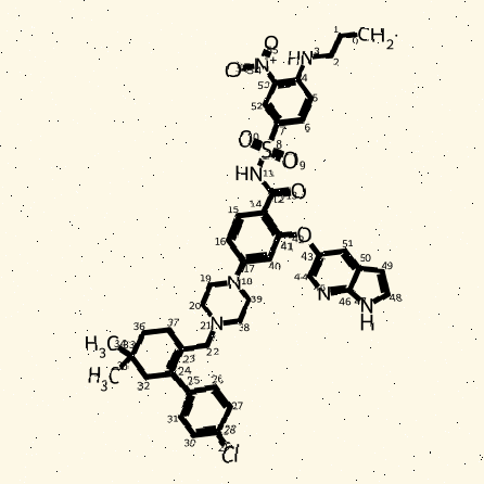 [CH2]CCNc1ccc(S(=O)(=O)NC(=O)c2ccc(N3CCN(CC4=C(c5ccc(Cl)cc5)CC(C)(C)CC4)CC3)cc2Oc2cnc3[nH]ccc3c2)cc1[N+](=O)[O-]